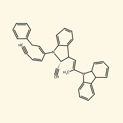 C#C/C=C\C(=C/Cc1ccccc1)N1c2ccccc2C(/C=C(\C)N2c3ccccc3C3C=CC=CC32)[C@@H]1C#C